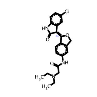 CCN(CC)CC(=O)Nc1ccc2c(c1)CO/C2=C1/C(=O)Nc2ccc(Cl)cc21